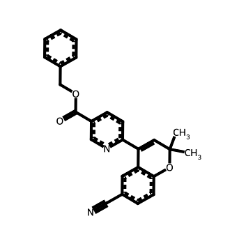 CC1(C)C=C(c2ccc(C(=O)OCc3ccccc3)cn2)c2cc(C#N)ccc2O1